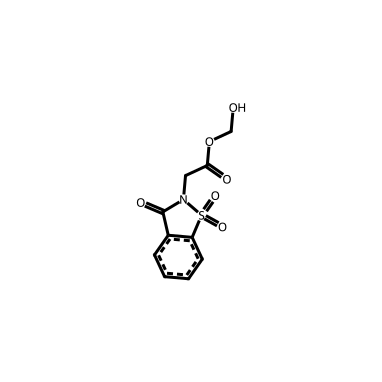 O=C(CN1C(=O)c2ccccc2S1(=O)=O)OCO